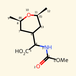 COC(=O)NC(C(=O)O)C1C[C@@H](C)O[C@@H](C)C1